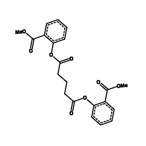 COC(=O)c1ccccc1OC(=O)CCCC(=O)Oc1ccccc1C(=O)OC